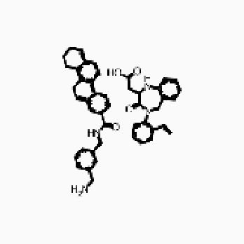 C=Cc1ccccc1N1Cc2ccccc2NC(CC(=O)O)C1=O.NCc1cccc(CNC(=O)c2ccc3c(c2)=CCc2c4c(ccc2=3)=CCCC4)c1